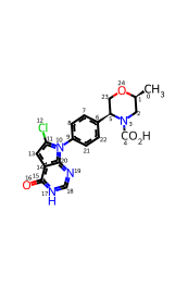 C[C@H]1CN(C(=O)O)[C@@H](c2ccc(-n3c(Cl)cc4c(=O)[nH]cnc43)cc2)CO1